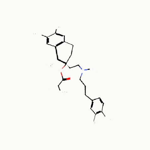 COCC(=O)O[C@@]1(CCN(C)CCCc2ccc(OC)c(OC)c2)CCc2cc(OC)c(OC)cc2[C@H]1C(C)C.Cl